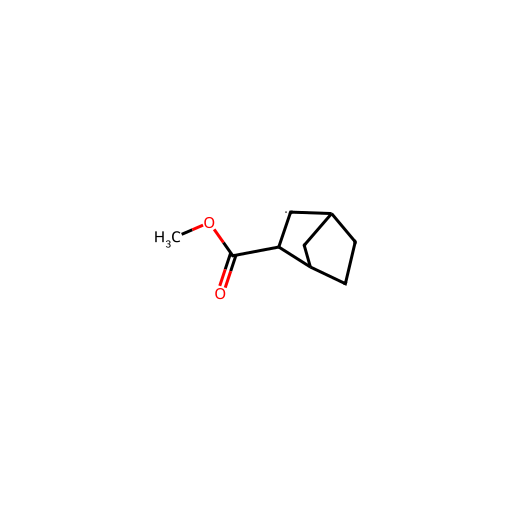 COC(=O)C1[CH]C2CCC1C2